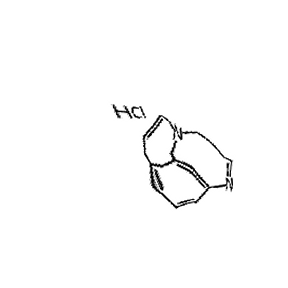 C1=Nc2cccc3ccn(c23)C1.Cl